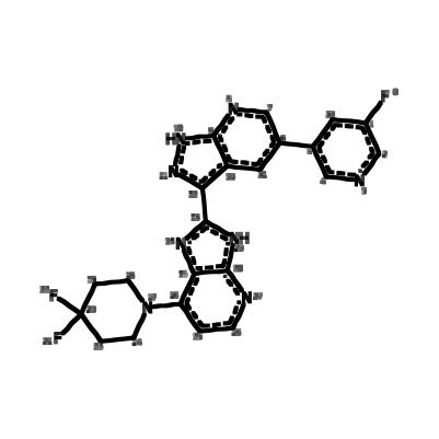 Fc1cncc(-c2cnc3[nH]nc(-c4nc5c(N6CCC(F)(F)CC6)ccnc5[nH]4)c3c2)c1